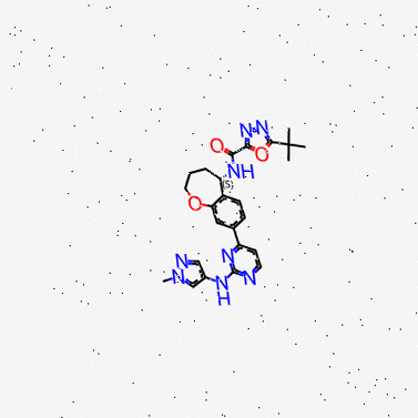 Cn1cc(Nc2nccc(-c3ccc4c(c3)OCCC[C@@H]4NC(=O)c3nnc(C(C)(C)C)o3)n2)cn1